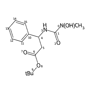 CN(O)C(=O)NC(CC(=O)OC(C)(C)C)c1ccccc1